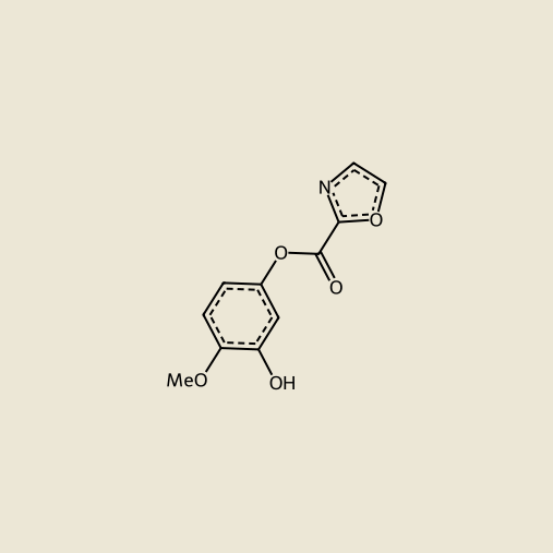 COc1ccc(OC(=O)c2ncco2)cc1O